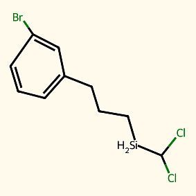 ClC(Cl)[SiH2]CCCc1cccc(Br)c1